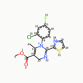 COC(=O)C1=C(C)N(c2ccc(F)cc2Cl)C(c2nccs2)=NC1